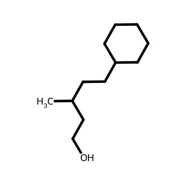 CC(CCO)CCC1CCCCC1